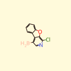 Bc1cnc(Cl)c2oc3ccccc3c12